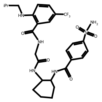 CC(C)CNc1ccc(C(F)(F)F)cc1C(=O)NCC(=O)NC1CCCCC1NC(=O)c1ccc(S(N)(=O)=O)cc1